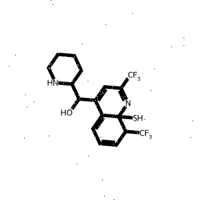 OC(C1=CC(C(F)(F)F)=NC2(S)C1=CC=CC2C(F)(F)F)C1CCCCN1